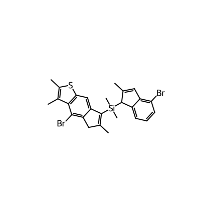 CC1=Cc2c(Br)cccc2C1[Si](C)(C)C1=C(C)Cc2c1cc1sc(C)c(C)c1c2Br